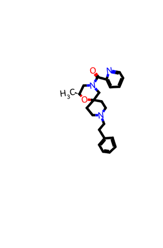 C[C@@H]1CN(C(=O)c2ccccn2)CC2(CCN(CCc3ccccc3)CC2)O1